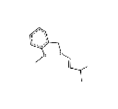 COc1ccccc1CON=CC(C)C